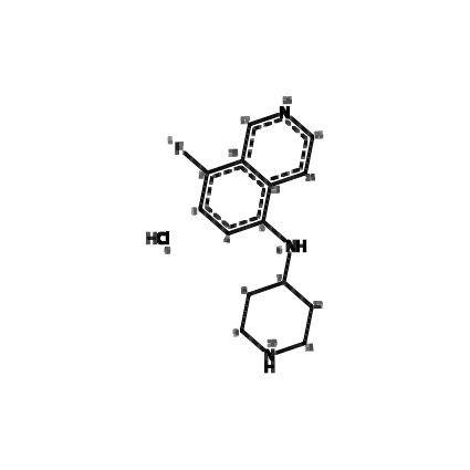 Cl.Fc1ccc(NC2CCNCC2)c2ccncc12